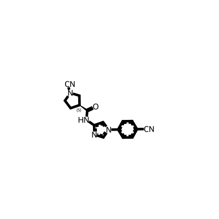 N#Cc1ccc(-n2cnc(NC(=O)[C@H]3CCN(C#N)C3)c2)cc1